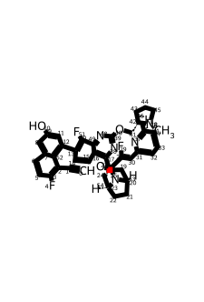 C#Cc1c(F)ccc2cc(O)cc(-c3ccc4c(N5C[C@H]6CC[C@@H](C5)N6C(=O)/C(F)=C/c5cccc(C)n5)nc(OC[C@@H]5CCCN5C)nc4c3F)c12